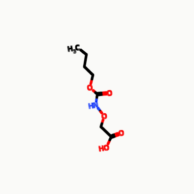 CCCCOC(=O)NOCC(=O)O